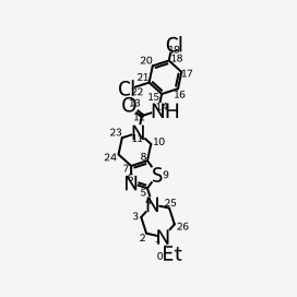 CCN1CCN(c2nc3c(s2)CN(C(=O)Nc2ccc(Cl)cc2Cl)CC3)CC1